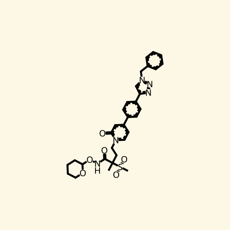 CC(CCn1ccc(-c2ccc(-c3cn(Cc4ccccc4)nn3)cc2)cc1=O)(C(=O)NOC1CCCCO1)S(C)(=O)=O